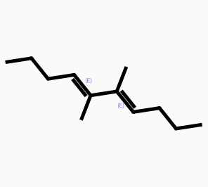 CCC/C=C(C)/C(C)=C/CCC